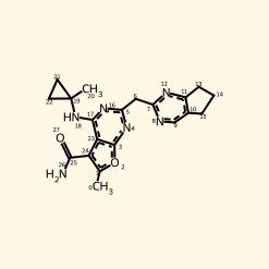 Cc1oc2nc(Cc3ncc4c(n3)CCC4)nc(NC3(C)CC3)c2c1C(N)=O